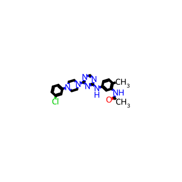 CC(=O)Nc1cc(Nc2ncnc(N3CCN(c4cccc(Cl)c4)CC3)n2)ccc1C